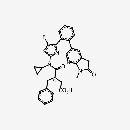 CN1C(=O)Cc2cc(-c3ccccc3-c3nc(N(C(=O)[C@@H](CC(=O)O)Cc4ccccc4)C4CC4)sc3F)cnc21